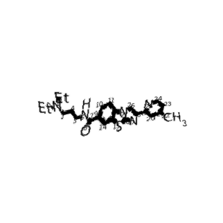 CCN(CC)CCCNC(=O)c1ccc2c(c1)sc1nc(-c3cc(C)ccn3)cn12